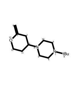 C=C1CC(N2CCN(C(C)(C)C)CC2)CCO1